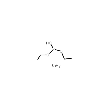 CCOP(O)OCC.[SnH2]